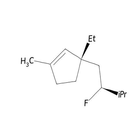 CC[C@]1(C[C@H](F)C(C)C)C=C(C)CC1